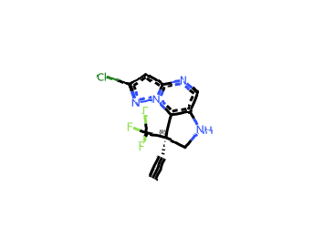 C#C[C@@]1(C(F)(F)F)CNc2cnc3cc(Cl)nn3c21